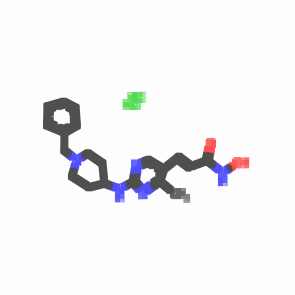 Cc1nc(NC2CCN(Cc3ccccc3)CC2)ncc1C=CC(=O)NO.Cl.Cl